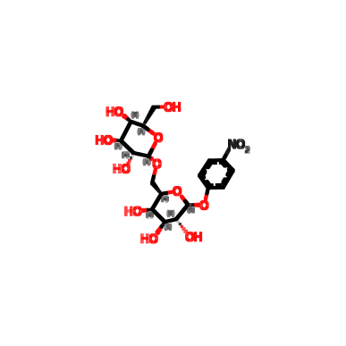 O=[N+]([O-])c1ccc(O[C@@H]2O[C@H](CO[C@@H]3O[C@H](CO)[C@H](O)[C@H](O)[C@H]3O)[C@H](O)[C@H](O)[C@H]2O)cc1